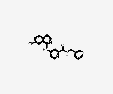 O=C(NCc1cccnc1)c1cc(Nc2nccc3ccc(Cl)cc23)ccn1